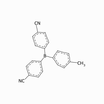 Cc1ccc(B(c2ccc(C#N)cc2)c2ccc(C#N)cc2)cc1